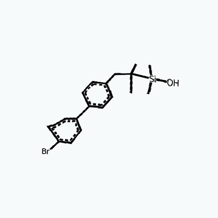 CC(C)(Cc1ccc(-c2ccc(Br)cc2)cc1)[Si](C)(C)O